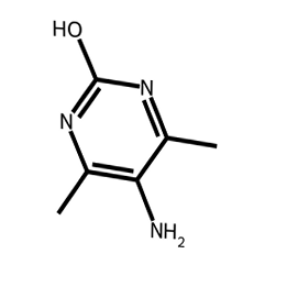 Cc1nc(O)nc(C)c1N